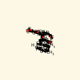 COC1(c2ccccn2)CCN(C(=O)NCc2ccc(C(F)(F)F)cc2)CC1.COC1(c2ccccn2)CCN(C(=O)Nc2ccc(C(F)(F)F)cc2)CC1.Cc1cccnc1C1(F)CCN(C(=O)Nc2ccc(C(C)C)cc2)CC1.Cc1cccnc1C1(F)CCN(C(=O)Nc2ccc(C(F)(C(F)(F)F)C(F)(F)F)cc2)CC1.Cn1ccnc1C1(F)CCN(C(=O)Nc2ccc(C(F)(F)F)cc2)CC1